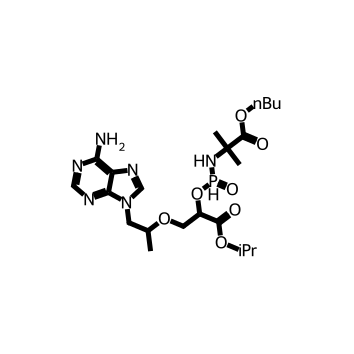 CCCCOC(=O)C(C)(C)N[PH](=O)OC(COC(C)Cn1cnc2c(N)ncnc21)C(=O)OC(C)C